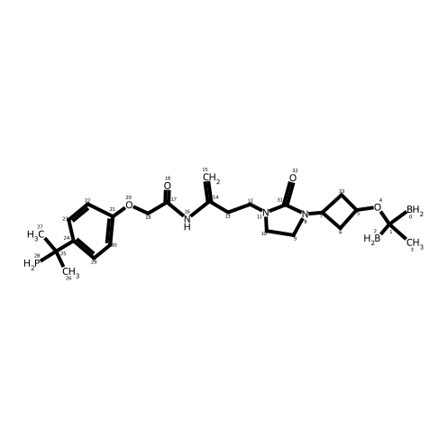 BC(B)(C)OC1CC(N2CCN(CCC(=C)NC(=O)COc3ccc(C(C)(C)P)cc3)C2=O)C1